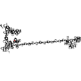 CC[C@@]1(O)C(=O)OCc2c1cc1n(c2=O)Cc2c-1nc1cc(F)c(C)c3c1c2C(NC(=O)OCc1ccc(NC(=O)[C@H](CCCNC(N)=O)NC(=O)[C@@H](NC(=O)[C@H](CCC(=O)NCCOCCOCCOCCOCCOCCOCCOCCOCCOCCOCCOCCOCCC(=O)NCCN(C[C@H](O)[C@@H](O)[C@H](O)[C@H](O)CO)C[C@H](O)[C@@H](O)[C@H](O)[C@H](O)CO)NC(=O)CCCCCN2C(=O)C=CC2=O)C(C)C)cc1)CC3